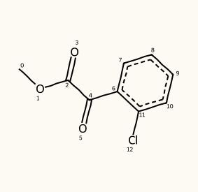 COC(=O)C(=O)c1ccccc1Cl